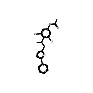 CC(=O)Nc1cc(Cl)c(C(C)Cc2nc(-c3ccccc3)cs2)c(Cl)c1